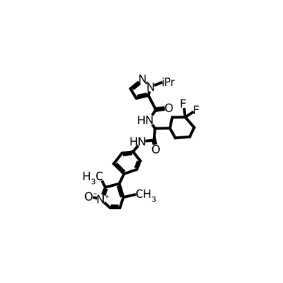 Cc1cc[n+]([O-])c(C)c1-c1ccc(NC(=O)C(NC(=O)c2ccnn2C(C)C)C2CCCC(F)(F)C2)cc1